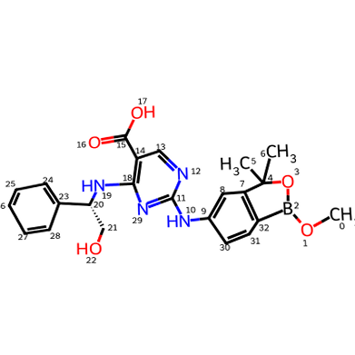 COB1OC(C)(C)c2cc(Nc3ncc(C(=O)O)c(N[C@H](CO)c4ccccc4)n3)ccc21